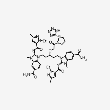 CCn1nc(C)cc1C(=O)N=c1n(C)c2cc(C(N)=O)ccc2n1CCC(CCn1c(=NC(=O)c2cc(C)nn2CC)n(C)c2cc(C(N)=O)ccc21)OCC(=O)N1CCC[C@H]1c1nnn[nH]1